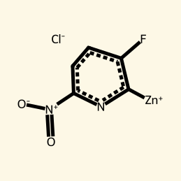 O=[N+]([O-])c1ccc(F)[c]([Zn+])n1.[Cl-]